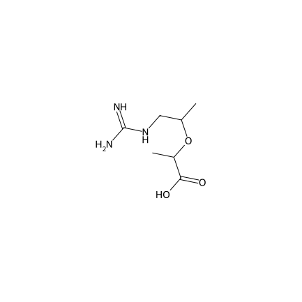 CC(CNC(=N)N)OC(C)C(=O)O